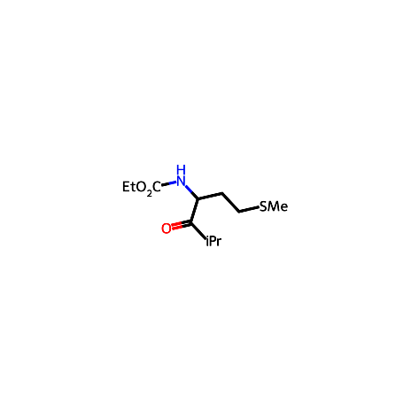 CCOC(=O)NC(CCSC)C(=O)C(C)C